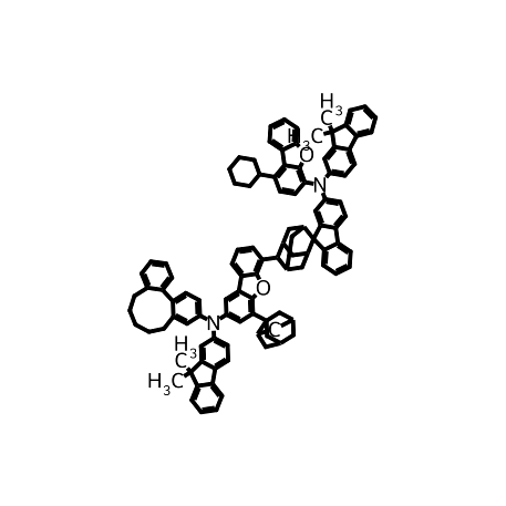 CC1(C)c2ccccc2-c2ccc(N(c3ccc4c(c3)CCCCCc3ccccc3-4)c3cc(C45CC6CC(CC4C6)C5)c4oc5c(C6C7CC8CC6CC(C7)C86c7ccccc7-c7ccc(N(c8ccc9c(c8)C(C)(C)c8ccccc8-9)c8ccc(C9CCCCC9)c9c8oc8ccccc89)cc76)cccc5c4c3)cc21